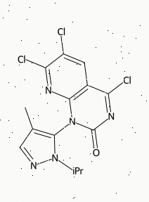 Cc1cnn(C(C)C)c1-n1c(=O)nc(Cl)c2cc(Cl)c(Cl)nc21